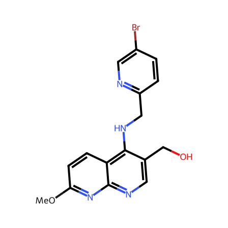 COc1ccc2c(NCc3ccc(Br)cn3)c(CO)cnc2n1